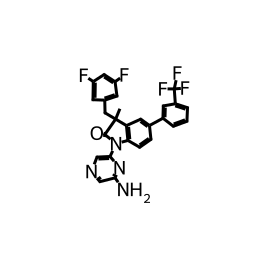 CC1(Cc2cc(F)cc(F)c2)C(=O)N(c2cncc(N)n2)c2ccc(-c3cccc(C(F)(F)F)c3)cc21